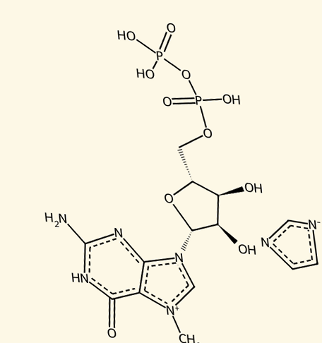 C[n+]1cn([C@@H]2O[C@H](COP(=O)(O)OP(=O)(O)O)[C@@H](O)[C@H]2O)c2nc(N)[nH]c(=O)c21.c1c[n-]cn1